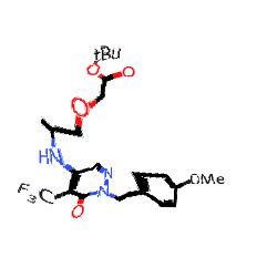 COc1ccc(Cn2ncc(NC(C)COCC(=O)OC(C)(C)C)c(C(F)(F)F)c2=O)cc1